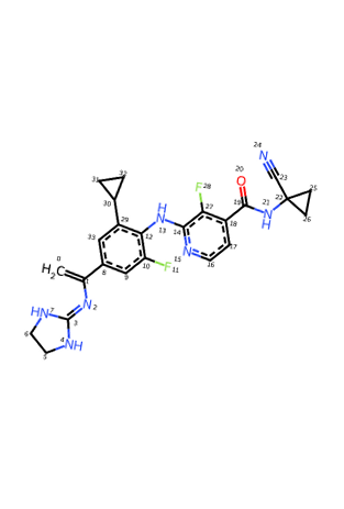 C=C(N=C1NCCN1)c1cc(F)c(Nc2nccc(C(=O)NC3(C#N)CC3)c2F)c(C2CC2)c1